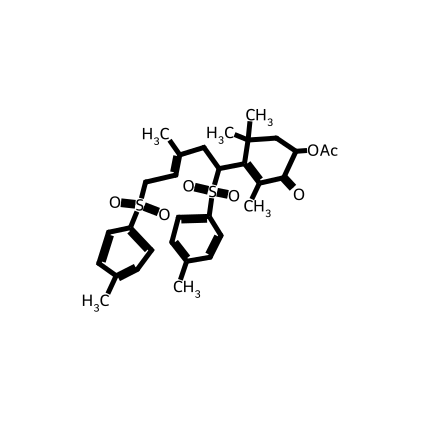 CC(=O)OC1CC(C)(C)C(C(CC(C)=CCS(=O)(=O)c2ccc(C)cc2)S(=O)(=O)c2ccc(C)cc2)=C(C)C1=O